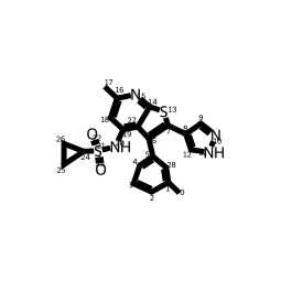 Cc1cccc(-c2c(-c3cn[nH]c3)sc3nc(C)cc(NS(=O)(=O)C4CC4)c23)c1